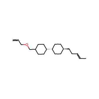 C=CCOCC1CCC([C@H]2CC[C@H](CC/C=C/C)CC2)CC1